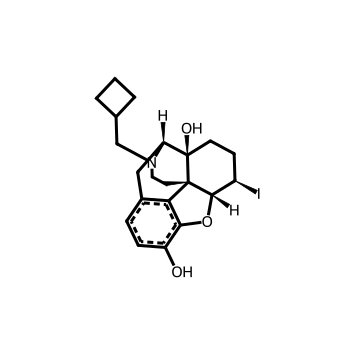 Oc1ccc2c3c1O[C@H]1[C@H](I)CC[C@@]4(O)[C@@H](C2)N(CC2CCC2)CC[C@]314